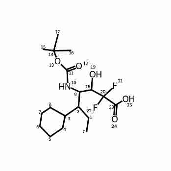 CCC(C1CCCCC1)C(NC(=O)OC(C)(C)C)C(O)C(F)(F)C(=O)O